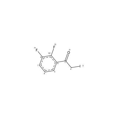 O=C(CI)c1cccc(F)c1F